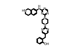 Oc1ccccc1Cc1cnc(N2CCN(c3ncnc(Nc4ccc5c(c4)CNCC5)n3)CC2)nc1